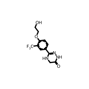 O=C1CNC(c2ccc(OCCO)c(C(F)(F)F)c2)=NN1